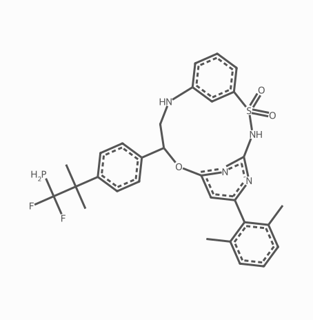 Cc1cccc(C)c1-c1cc2nc(n1)NS(=O)(=O)c1cccc(c1)NCC(c1ccc(C(C)(C)C(F)(F)P)cc1)O2